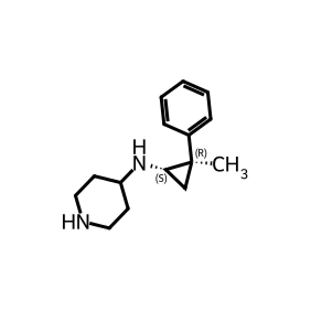 C[C@]1(c2ccccc2)C[C@@H]1NC1CCNCC1